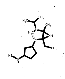 CCC1(N(F)C2CCC(BS)C2)NC1(C)N(C)C(C)C